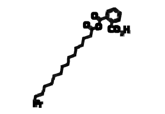 CC(C)CCCCCCCCCCCCCCC(=O)OC(=O)c1ccccc1C(=O)O